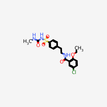 CCOc1ccc(Cl)cc1C(=O)NCCc1ccc(S(=O)(=O)NC(=O)NC)cc1